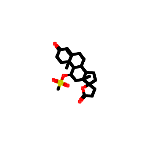 CC12CCC(=O)C=C1CCC1C2[C@H](OS(C)(=O)=O)CC2(C)C1CCC21CCC(=O)O1